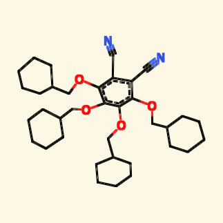 N#Cc1c(C#N)c(OCC2CCCCC2)c(OCC2CCCCC2)c(OCC2CCCCC2)c1OCC1CCCCC1